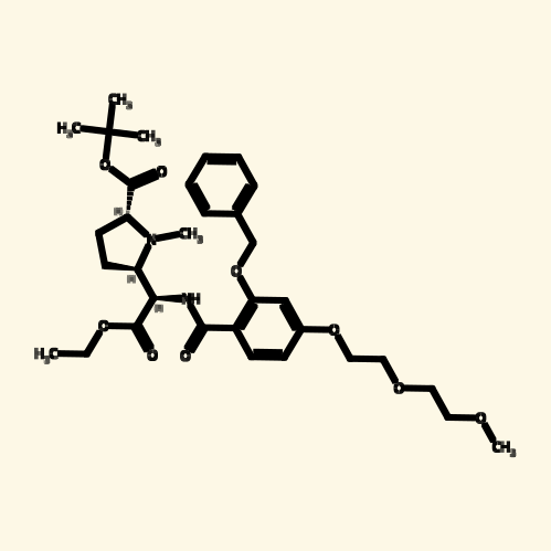 CCOC(=O)[C@H](NC(=O)c1ccc(OCCOCCOC)cc1OCc1ccccc1)[C@H]1CC[C@H](C(=O)OC(C)(C)C)N1C